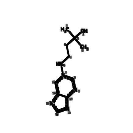 CC(C)(O)CCNn1cnc2ncnc-2c1